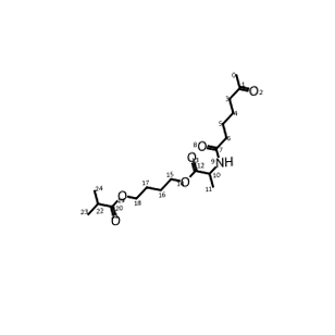 CC(=O)CCCCC(=O)NC(C)C(=O)OCCCCOC(=O)C(C)C